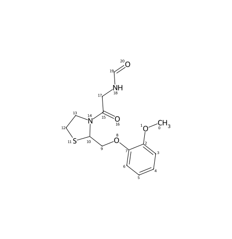 COc1ccccc1OCC1SCCN1C(=O)CNC=O